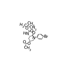 CC(=O)O[C@H]1C[C@H](NC(=O)OC(C)(C)C)C(=O)N(c2ccc(Br)cc2)C1